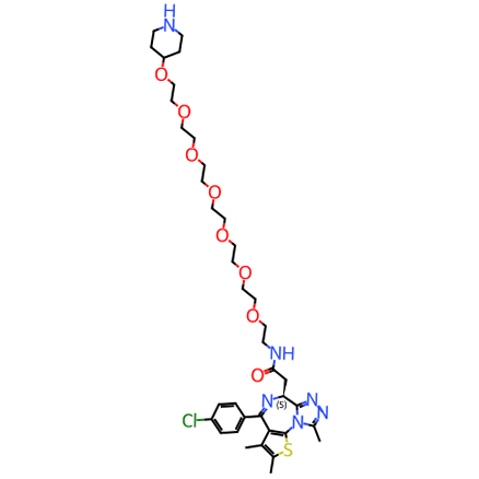 Cc1sc2c(c1C)C(c1ccc(Cl)cc1)=N[C@@H](CC(=O)NCCOCCOCCOCCOCCOCCOCCOC1CCNCC1)c1nnc(C)n1-2